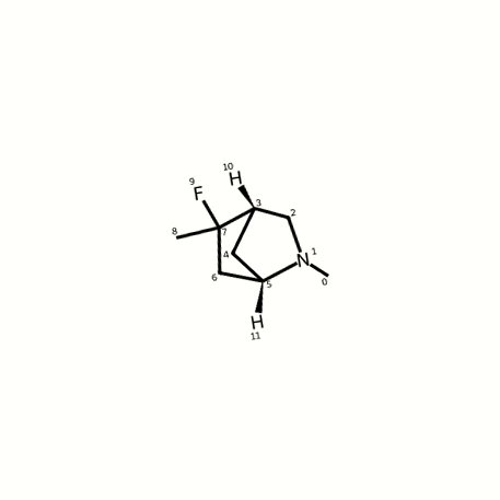 CN1C[C@@H]2C[C@H]1CC2(C)F